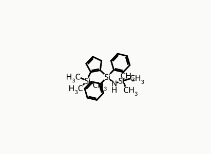 C[Si](C)(C)N[Si](C1=C([Si](C)(C)C)C=CC1)(c1ccccc1)c1ccccc1